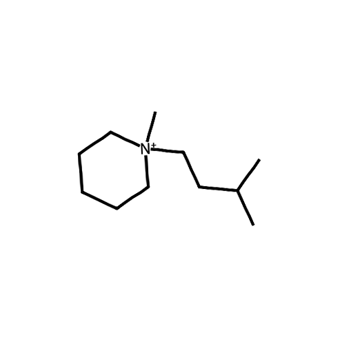 CC(C)CC[N+]1(C)CCCCC1